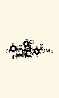 COC(=O)c1ccc2c(c1)nc1n2CC[C@H]2[C@@H]1[C@H](c1cccc(Cl)c1F)[C@H](C(=O)Nc1cccc(Cl)c1)N2CCC(C)C